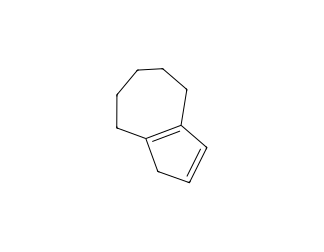 C1=CC2=C(C1)CCCCC2